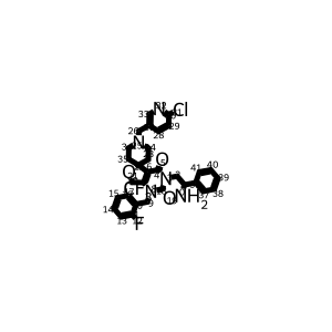 NC(Cn1c(=O)c2c(n(Cc3c(F)cccc3C(F)(F)F)c1=O)COC21CCN(Cc2ccc(Cl)nc2)CC1)c1ccccc1